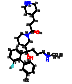 CCc1cccc(-c2c(F)cccc2C(O)(CCCNC(=O)O)C2CCCN(C(=O)CCC3CCNCC3)C2)c1